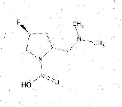 CN(C)C[C@H]1C[C@H](F)CN1C(=O)O